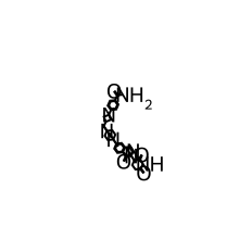 NC(=O)c1ccc(N2CC(CN3CCN(c4ccc5c(=O)n(C6CCC(=O)NC6=O)ncc5c4)CC3)C2)cc1